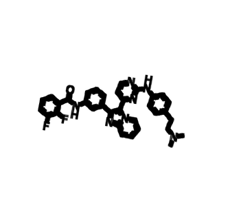 CN(C)CCc1ccc(Nc2nccc(-c3c(-c4cccc(NC(=O)c5cccc(F)c5F)c4)nc4ccccn34)n2)cc1